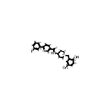 O=C(NC1CCN(Cc2cc(Br)ccc2O)CC1)c1ccc(-c2cccc(F)c2)nc1